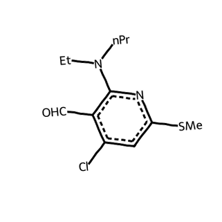 CCCN(CC)c1nc(SC)cc(Cl)c1C=O